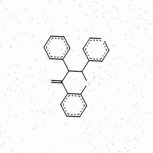 O=C1c2ccccc2NC(c2ccncc2)C1c1ccccc1